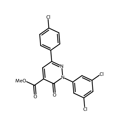 COC(=O)c1cc(-c2ccc(Cl)cc2)nn(-c2cc(Cl)cc(Cl)c2)c1=O